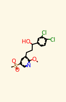 COc1ncc(S(C)(=O)=O)cc1CCC(O)c1ccc(Cl)c(Cl)c1